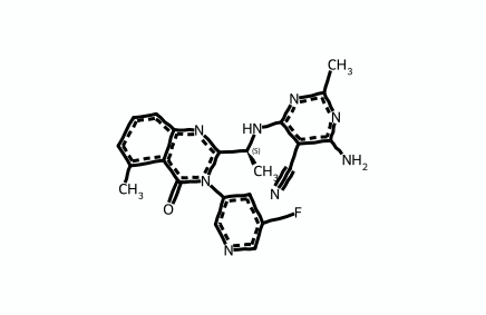 Cc1nc(N)c(C#N)c(N[C@@H](C)c2nc3cccc(C)c3c(=O)n2-c2cncc(F)c2)n1